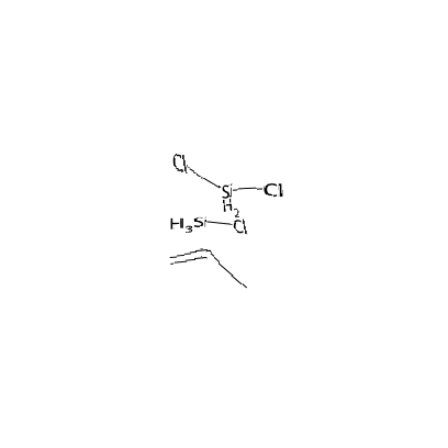 C=CC.Cl[SiH2]Cl.[SiH3]Cl